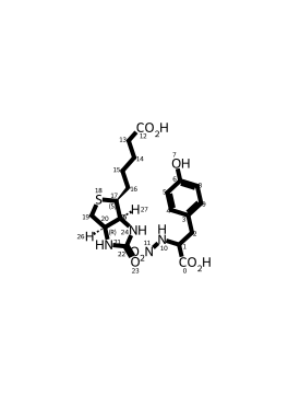 O=C(O)C(Cc1ccc(O)cc1)N[N+](=O)[O-].O=C(O)CCCC[C@@H]1SC[C@@H]2NC(=O)N[C@@H]21